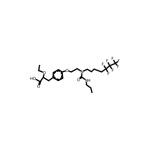 CCCNC(=O)N(CCCCC(F)(F)C(F)(F)C(F)(F)F)CCOc1ccc(CC(OCC)C(=O)O)cc1